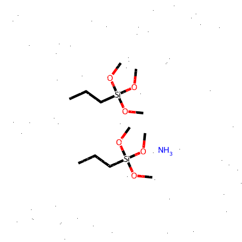 CCC[Si](OC)(OC)OC.CCC[Si](OC)(OC)OC.N